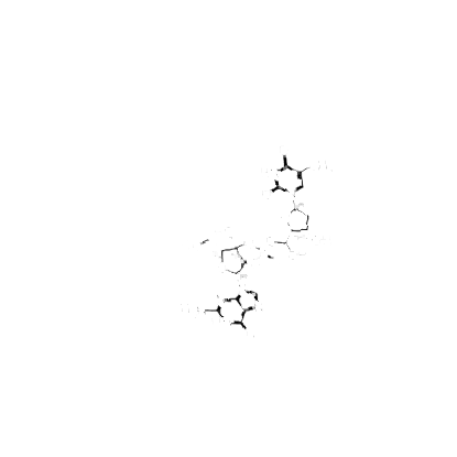 Cc1cn([C@H]2C[C@H](O)[C@@H](C(O)OP(O)(=S)O[C@@]3(O)C[C@H](n4cnc5c(=O)[nH]c(N)nc54)O[C@@H]3CO)O2)c(=O)[nH]c1=O